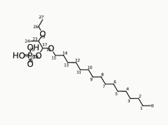 CCCCCCCCCCCCCCCCOC(OP(=O)(O)O)C(C)OCC